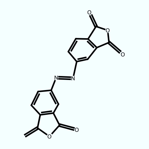 C=C1OC(=O)c2cc(N=Nc3ccc4c(c3)C(=O)OC4=O)ccc21